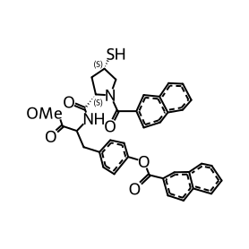 COC(=O)C(Cc1ccc(OC(=O)c2ccc3ccccc3c2)cc1)NC(=O)[C@@H]1C[C@H](S)CN1C(=O)c1ccc2ccccc2c1